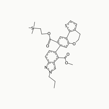 CCCn1cc2c(C(=O)OC)c(-c3cc4c(cc3C(=O)OCC[Si](C)(C)C)-c3sccc3CCO4)ccc2n1